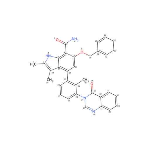 Cc1[nH]c2c(C(N)=O)c(OCC3=CCCC=C3)cc(-c3cccc(-n4cnc5ccccc5c4=O)c3C)c2c1C